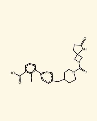 Cc1c(C(=O)O)cccc1-c1ccc(CC2CCN(C(=O)N3CC4(CCC(=O)N4)C3)CC2)cc1